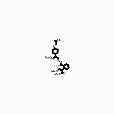 COC=C(C(=O)OC)c1ccccc1C(C)ON=CC(=NOC)c1ccc(OCC(C)F)cc1